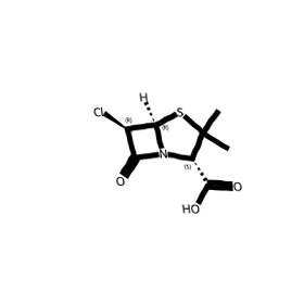 CC1(C)S[C@@H]2[C@H](Cl)C(=O)N2[C@H]1C(=O)O